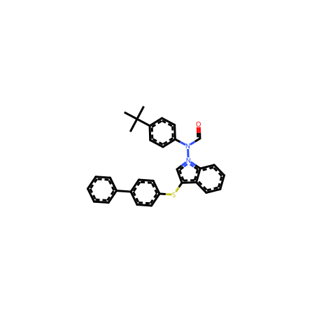 CC(C)(C)c1ccc(N(C=O)n2cc(Sc3ccc(-c4ccccc4)cc3)c3ccccc32)cc1